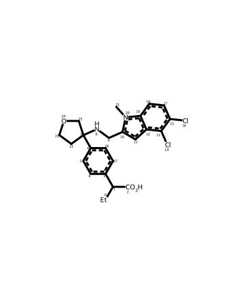 CCC(C(=O)O)c1ccc(C2(NCc3cc4c(Cl)c(Cl)ccc4n3C)CCOC2)cc1